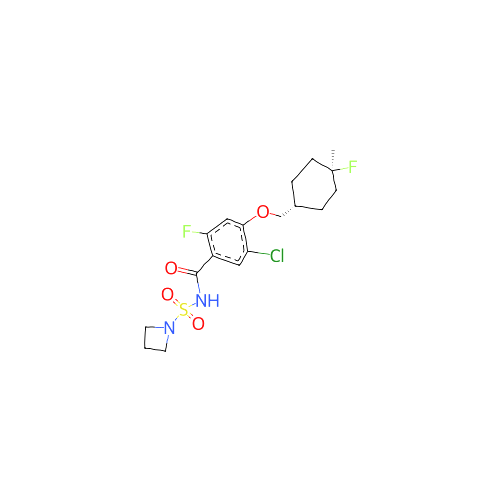 C[C@]1(F)CC[C@H](COc2cc(F)c(C(=O)NS(=O)(=O)N3CCC3)cc2Cl)CC1